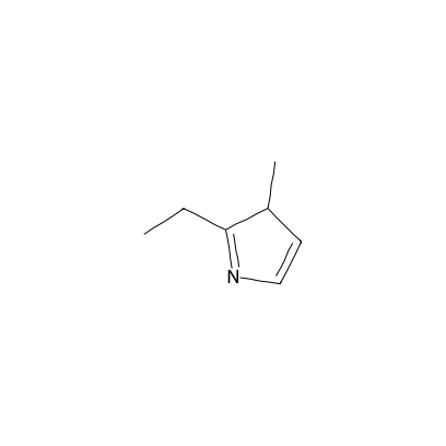 CCC1=NC=CC1C